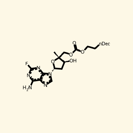 CCCCCCCCCCCCOC(=O)OC[C@@]1(C)O[C@@H](n2cnc3c(N)nc(F)nc32)C[C@@H]1O